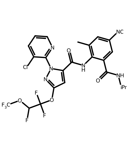 [C-]#[N+]c1cc(C)c(NC(=O)c2cc(OC(F)(F)C(F)OC(F)(F)F)nn2-c2ncccc2Cl)c(C(=O)NC(C)C)c1